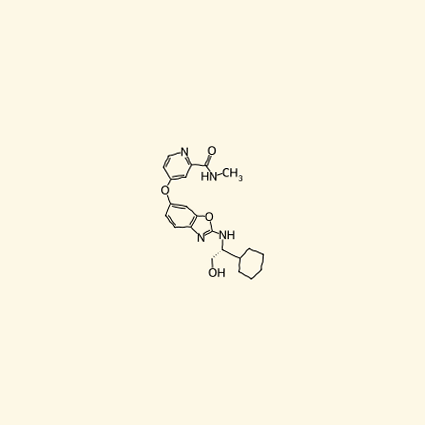 CNC(=O)c1cc(Oc2ccc3nc(N[C@@H](CO)C4CCCCC4)oc3c2)ccn1